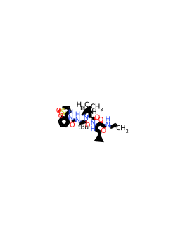 C=CCNC(=O)C(=O)C(CCC1CC1)NC(=O)[C@@H]1[C@@H]2[C@H](CN1C(=O)[C@@H](NC(=O)NC1(C3CCCS3(=O)=O)CCCCC1)C(C)(C)C)C2(C)C